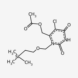 CC(=O)OCc1c(Cl)c(=O)[nH]c(=O)n1COCC[Si](C)(C)C